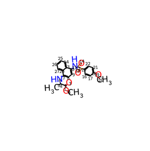 COC(=O)C(C)Nc1ccc(NS(=O)(=O)c2ccc(OC)cc2)c2ccccc12